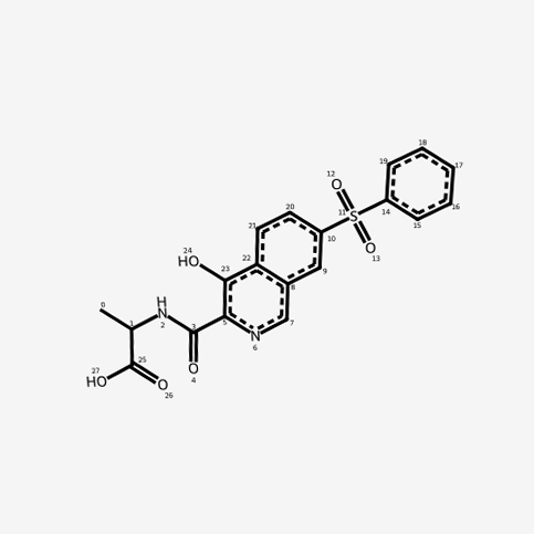 CC(NC(=O)c1ncc2cc(S(=O)(=O)c3ccccc3)ccc2c1O)C(=O)O